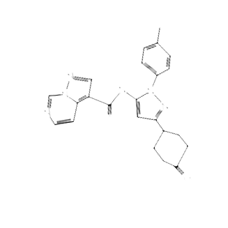 Cc1ccc(-n2nc(C3CCC(=O)CC3)cc2NC(=O)c2cnn3cnccc23)cc1